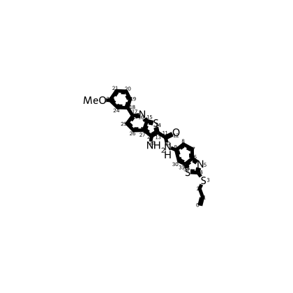 C=CCSc1nc2ccc(NC(=O)c3sc4nc(-c5cccc(OC)c5)ccc4c3N)cc2s1